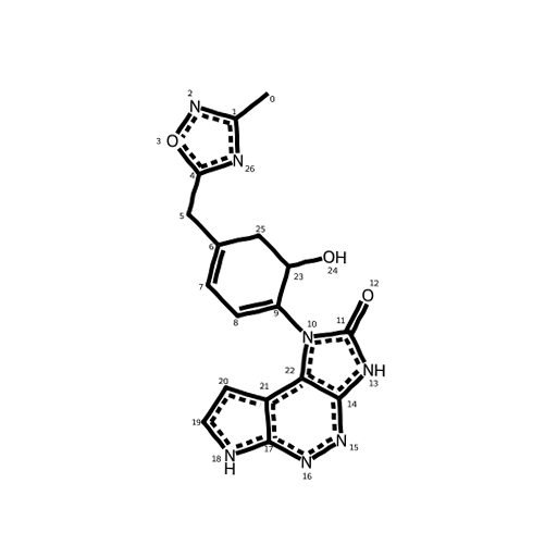 Cc1noc(CC2=CC=C(n3c(=O)[nH]c4nnc5[nH]ccc5c43)C(O)C2)n1